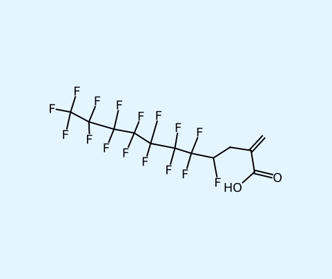 C=C(CC(F)C(F)(F)C(F)(F)C(F)(F)C(F)(F)C(F)(F)C(F)(F)C(F)(F)F)C(=O)O